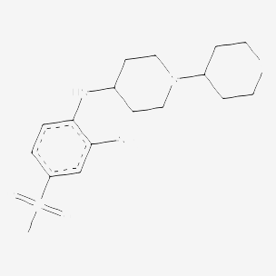 CS(=O)(=O)c1ccc(NC2CCN(C3CCOCC3)CC2)c([N+](=O)[O-])c1